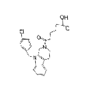 O=C(O)CCCCC(=O)N1CCc2c(n(Cc3ccc(Cl)cc3)c3ccccc23)C1